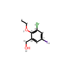 CCOc1c(Br)cc(I)cc1CO